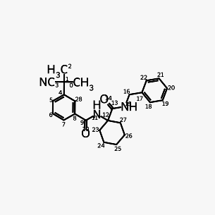 CC(C)(C#N)c1cccc(C(=O)NC2(C(=O)NCc3ccccc3)CCCCC2)c1